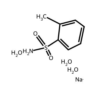 Cc1ccccc1S(N)(=O)=O.O.O.O.[Na]